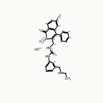 CCNCc1cccc(NC(=O)NCc2c(-c3ccccc3)c3cc(Cl)ccc3c(=O)n2C)c1.Cl